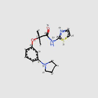 CC(C)(Oc1cccc(N2CCCC2)c1)C(=O)Nc1nccs1